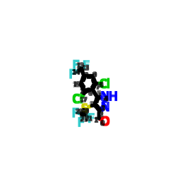 O=Cc1n[nH]c(-c2c(Cl)cc(C(F)(F)F)cc2Cl)c1SC(F)(F)F